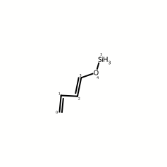 C=CC=CO[SiH3]